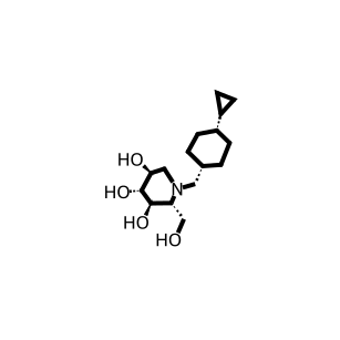 OC[C@@H]1[C@@H](O)[C@H](O)[C@@H](O)CN1C[C@H]1CC[C@@H](C2CC2)CC1